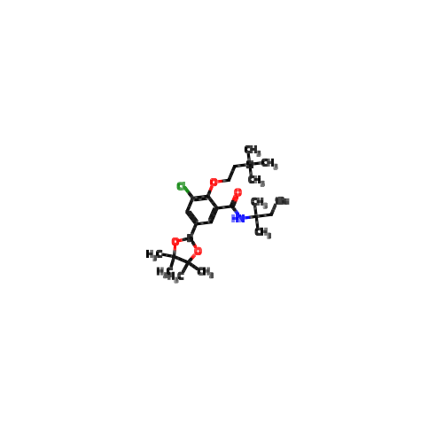 CC(C)(C)CC(C)(C)NC(=O)c1cc(B2OC(C)(C)C(C)(C)O2)cc(Cl)c1OCC[Si](C)(C)C